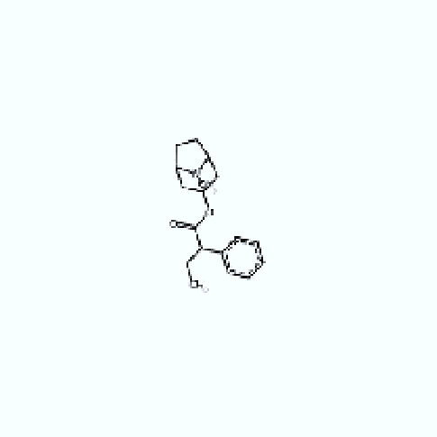 CCC(C(=O)OC1CC2CCC(C1)N2C)c1ccccc1